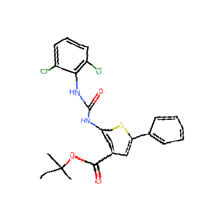 CC(C)(C)OC(=O)c1cc(-c2ccccc2)sc1NC(=O)Nc1c(Cl)cccc1Cl